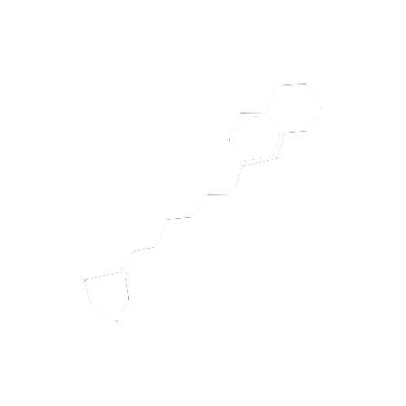 c1cc2c(cc1OCCCCCN1CCCC1)CCCC2